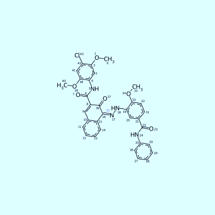 COc1cc(NC(=O)C2=Cc3ccccc3/C(=N/Nc3cc(C(=O)Nc4ccccc4)ccc3OC)C2=O)c(OC)cc1Cl